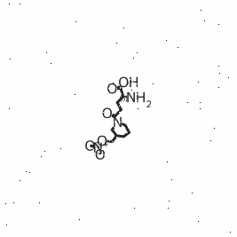 N[C@@H](CCC(=O)N1CCCC(CO[N+](=O)[O-])C1)C(=O)O